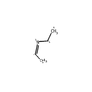 C/[C]=N\CC